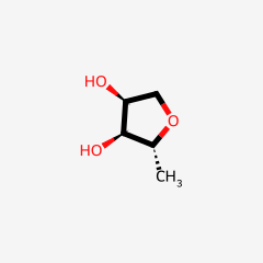 C[C@H]1OC[C@H](O)[C@@H]1O